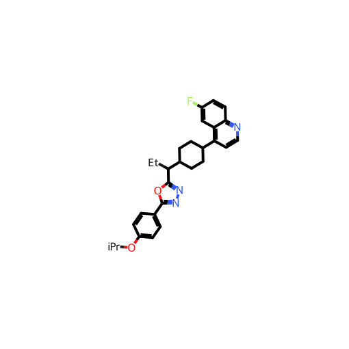 CCC(c1nnc(-c2ccc(OC(C)C)cc2)o1)C1CCC(c2ccnc3ccc(F)cc23)CC1